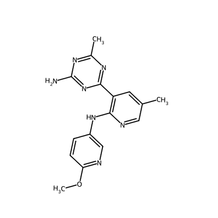 COc1ccc(Nc2ncc(C)cc2-c2nc(C)nc(N)n2)cn1